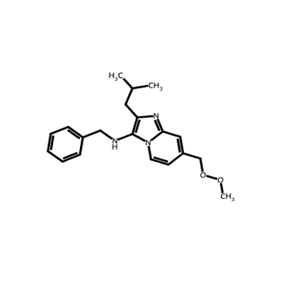 COOCc1ccn2c(NCc3ccccc3)c(CC(C)C)nc2c1